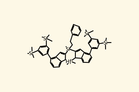 C[Si]1(CCc2ccccc2)C2=Cc3c(-c4cc([Si](C)(C)C)cc([Si](C)(C)C)c4)cccc3[CH]2[Hf]([CH3])([CH3])[CH]2C1=Cc1c(-c3cc([Si](C)(C)C)cc([Si](C)(C)C)c3)cccc12